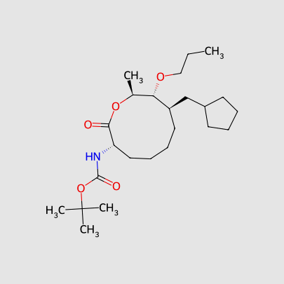 CCCO[C@@H]1[C@@H](CC2CCCC2)CCCC[C@H](NC(=O)OC(C)(C)C)C(=O)O[C@H]1C